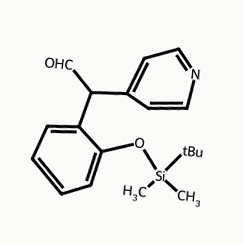 CC(C)(C)[Si](C)(C)Oc1ccccc1C(C=O)c1ccncc1